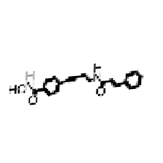 O=C(C=Cc1ccccc1)NCCC#Cc1ccc(C(=O)NO)cc1